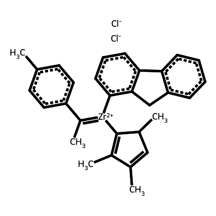 CC1=CC(C)[C](/[Zr+2](=[C](\C)c2ccc(C)cc2)[c]2cccc3c2Cc2ccccc2-3)=C1C.[Cl-].[Cl-]